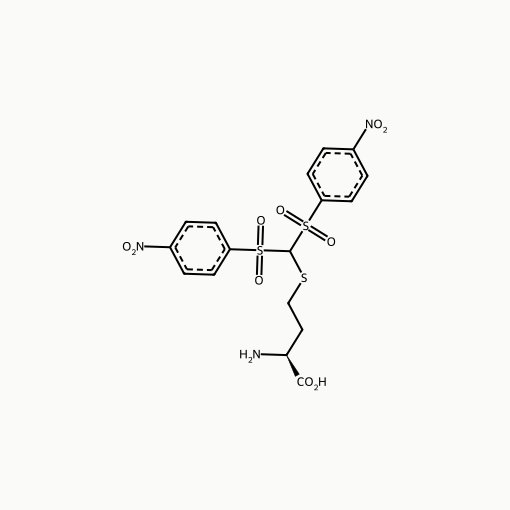 N[C@@H](CCSC(S(=O)(=O)c1ccc([N+](=O)[O-])cc1)S(=O)(=O)c1ccc([N+](=O)[O-])cc1)C(=O)O